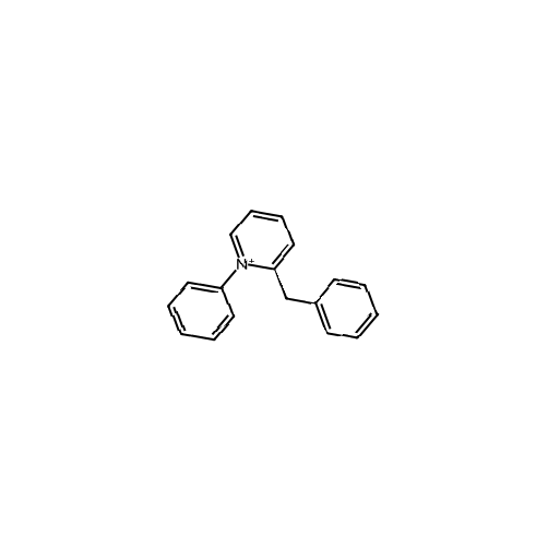 c1ccc(Cc2cccc[n+]2-c2ccccc2)cc1